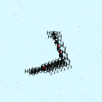 CN1CCN(C)C1.CN1CCN(C)C1.CN1CCN(C)C1.CN1CCN(C)C1.CN1CCN(C)C1.CN1CCN(C)C1.CN1CCN(C)C1.CN1CCN(C)C1.CN1CCN(C)C1.CN1CCN(C)C1.O=P(O)(O)F.O=P(O)(O)F.O=P(O)(O)F.O=P(O)(O)F.O=P(O)(O)F